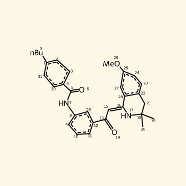 CCCCc1ccc(C(=O)Nc2cccc(C(=O)C=C3NC(C)(C)Cc4ccc(OC)cc43)c2)cc1